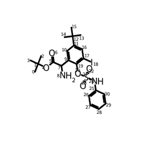 CC(C)(C)OC(=O)C(N)c1cc(C(C)(C)C)cc(I)c1OS(=O)(=O)Nc1ccccc1